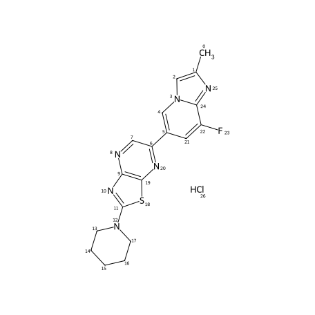 Cc1cn2cc(-c3cnc4nc(N5CCCCC5)sc4n3)cc(F)c2n1.Cl